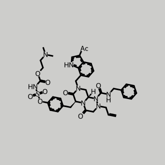 C=CCN1CC(=O)N2[C@@H](Cc3ccc(OS(=O)(=O)NC(=O)OCCN(C)C)cc3)C(=O)N(Cc3cccc4c(C(C)=O)c[nH]c34)C[C@@H]2N1C(=O)NCc1ccccc1